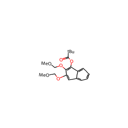 COCOc1cc2ccccc2c(OC(=O)C(C)(C)C)c1OCOC